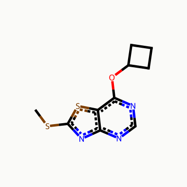 CSc1nc2ncnc(OC3CCC3)c2s1